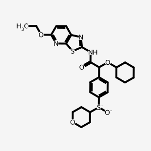 CCOc1ccc2nc(NC(=O)C(OC3CCCCC3)c3ccc([S+]([O-])C4CCOCC4)cc3)sc2n1